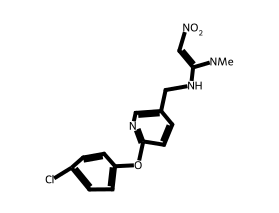 CNC(=C[N+](=O)[O-])NCc1ccc(Oc2ccc(Cl)cc2)nc1